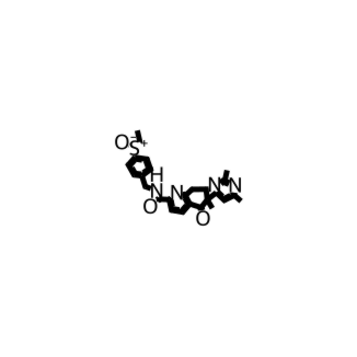 CC[S+]([O-])c1ccc(CNC(=O)c2ccc3c(n2)CCC(C)(c2cc(C)nc(C)n2)C3=O)cc1